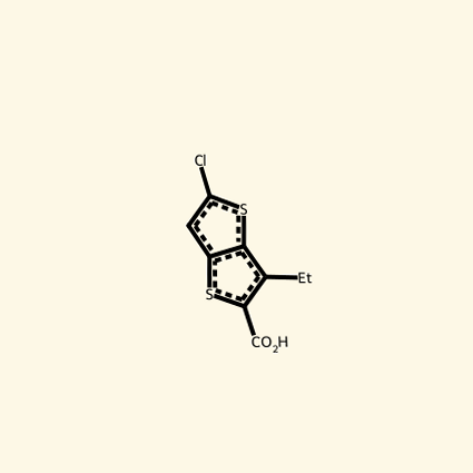 CCc1c(C(=O)O)sc2cc(Cl)sc12